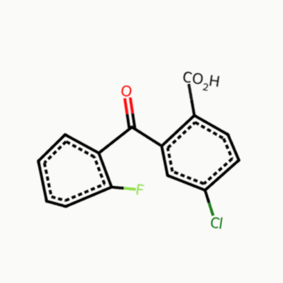 O=C(O)c1ccc(Cl)cc1C(=O)c1ccccc1F